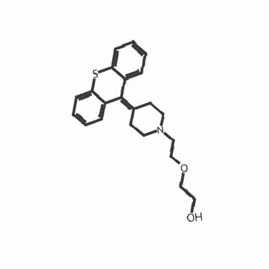 OCCOCCN1CCC(=C2c3ccccc3Sc3ccccc32)CC1